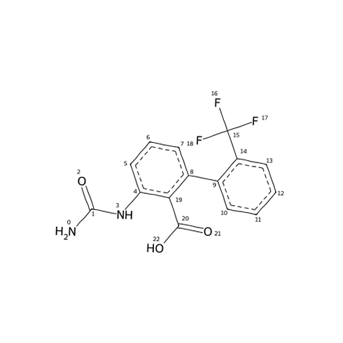 NC(=O)Nc1cccc(-c2ccccc2C(F)(F)F)c1C(=O)O